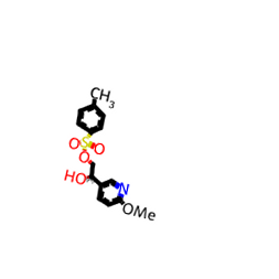 COc1ccc([C@@H](O)COS(=O)(=O)c2ccc(C)cc2)cn1